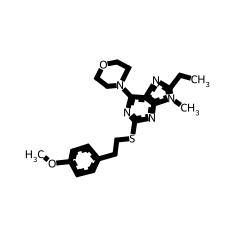 CCc1nc2c(N3CCOCC3)nc(SCCc3ccc(OC)cc3)nc2n1C